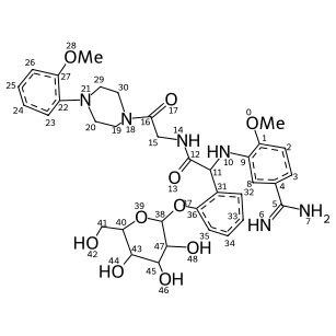 COc1ccc(C(=N)N)cc1NC(C(=O)NCC(=O)N1CCN(c2ccccc2OC)CC1)c1ccccc1OC1OC(CO)C(O)C(O)C1O